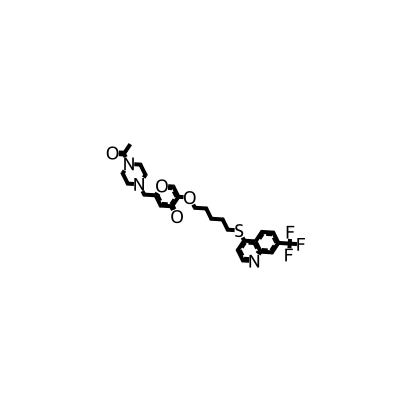 CC(=O)N1CCN(Cc2cc(=O)c(OCCCCCSc3ccnc4cc(C(F)(F)F)ccc34)co2)CC1